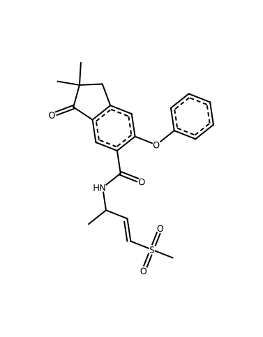 CC(C=CS(C)(=O)=O)NC(=O)c1cc2c(cc1Oc1ccccc1)CC(C)(C)C2=O